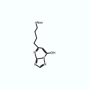 CCCCCCCCCCCCCc1cc(O)n2ncnc2n1